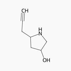 C#CCC1CC(O)CN1